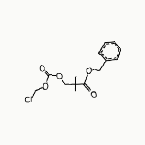 CC(C)(COC(=O)OCCl)C(=O)OCc1ccccc1